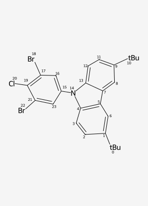 CC(C)(C)c1ccc2c(c1)c1cc(C(C)(C)C)ccc1n2-c1cc(Br)c(Cl)c(Br)c1